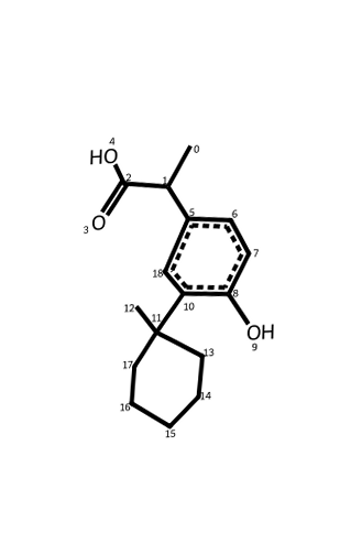 CC(C(=O)O)c1ccc(O)c(C2(C)CCCCC2)c1